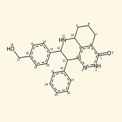 O=c1[nH]nc2c3c1CCCC3NC(c1ccc(CO)cc1)C2c1ccccc1